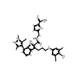 Cc1cc(OCCCc2c(C(=O)NCc3ccc(C(=O)O)o3)[nH]c3c(-c4c(C)nn(C)c4C)cccc23)cc(C)c1Cl